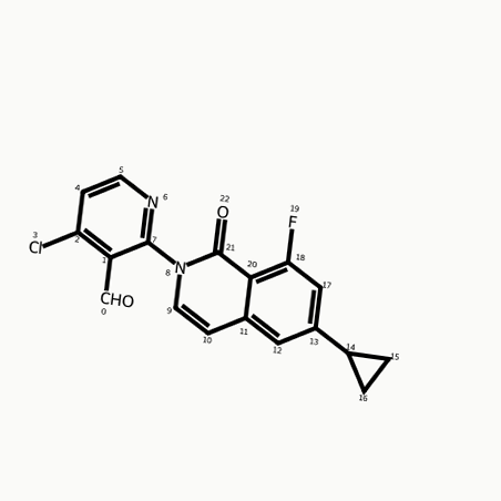 O=Cc1c(Cl)ccnc1-n1ccc2cc(C3CC3)cc(F)c2c1=O